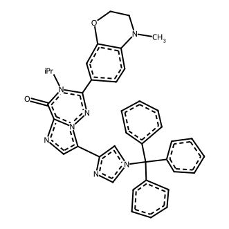 CC(C)n1c(-c2ccc3c(c2)OCCN3C)nn2c(-c3cn(C(c4ccccc4)(c4ccccc4)c4ccccc4)cn3)cnc2c1=O